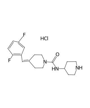 Cl.O=C(NC1CCNCC1)N1CCC(=Cc2cc(F)ccc2F)CC1